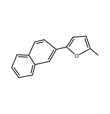 Cc1ccc(-c2ccc3ccccc3c2)o1